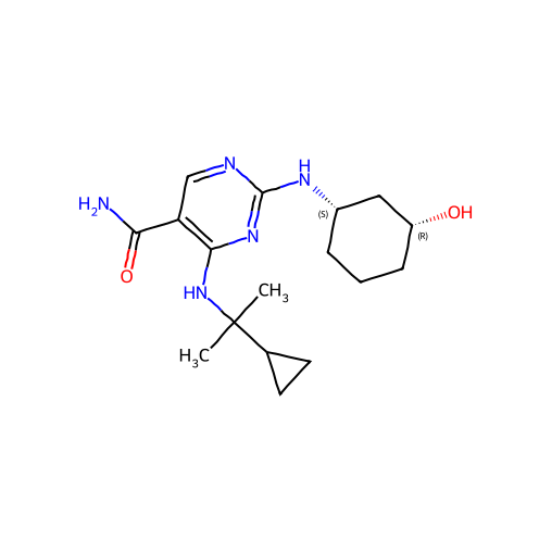 CC(C)(Nc1nc(N[C@H]2CCC[C@@H](O)C2)ncc1C(N)=O)C1CC1